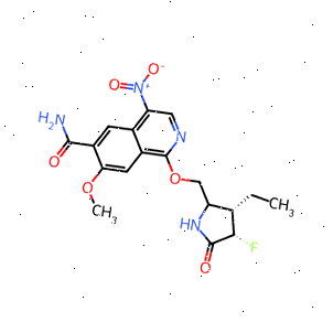 CC[C@H]1C(COc2ncc([N+](=O)[O-])c3cc(C(N)=O)c(OC)cc23)NC(=O)[C@H]1F